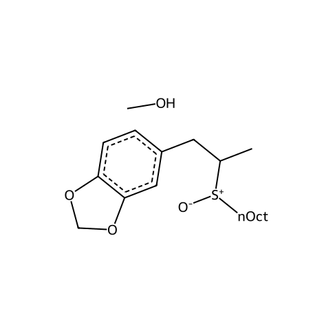 CCCCCCCC[S+]([O-])C(C)Cc1ccc2c(c1)OCO2.CO